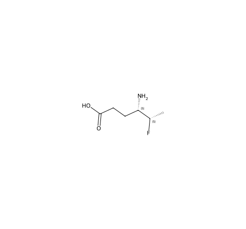 C[C@H](F)[C@@H](N)CCC(=O)O